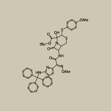 CON=C(C(=O)NC1C(=O)N2C1CSC(Sc1ccc(OC)cc1)C2(O)C(=O)OC(C)(C)C)c1csc(NC(c2ccccc2)(c2ccccc2)c2ccccc2)n1